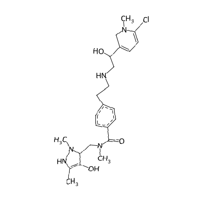 CC1=C(O)C(CN(C)C(=O)c2ccc(CCNCC(O)C3=CC=C(Cl)N(C)C3)cc2)N(C)N1